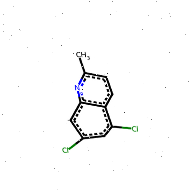 Cc1ccc2c(Cl)cc(Cl)[c]c2n1